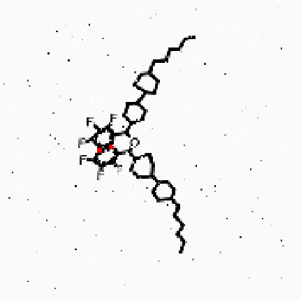 CCCCCCC1CCC(C2CCC(C(OC(c3ccc(F)c(F)c3F)C3CCC(C4CCC(CCCCCC)CC4)CC3)c3ccc(F)c(F)c3F)CC2)CC1